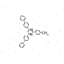 Cc1ccc(-c2nc(-c3ccc(-c4ccccc4)cc3)cc(-c3ccc(-c4ccccc4)cc3)n2)cc1